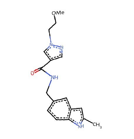 COCCn1cc(C(=O)NCc2ccc3[nH]c(C)cc3c2)cn1